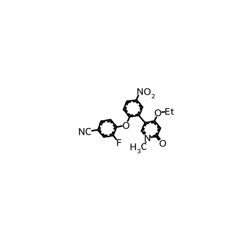 CCOc1cc(=O)n(C)cc1-c1cc([N+](=O)[O-])ccc1Oc1ccc(C#N)cc1F